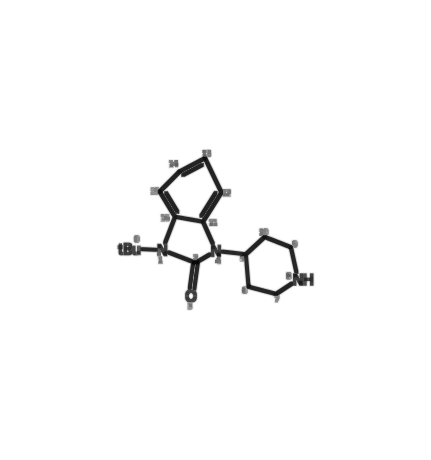 CC(C)(C)n1c(=O)n(C2CCNCC2)c2ccccc21